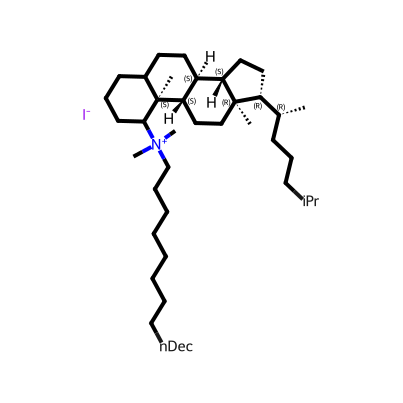 CCCCCCCCCCCCCCCCCC[N+](C)(C)C1CCCC2CC[C@@H]3[C@H](CC[C@]4(C)[C@@H]([C@H](C)CCCC(C)C)CC[C@@H]34)[C@]21C.[I-]